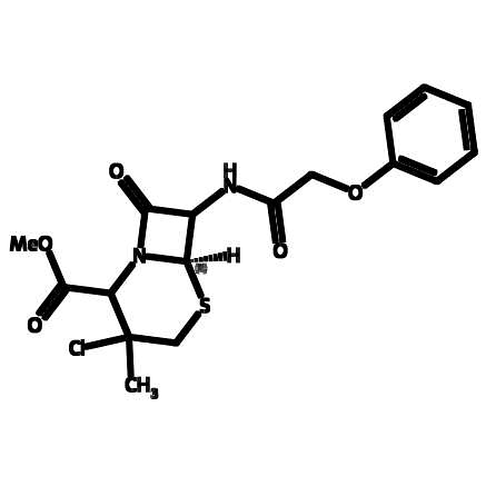 COC(=O)C1N2C(=O)C(NC(=O)COc3ccccc3)[C@H]2SCC1(C)Cl